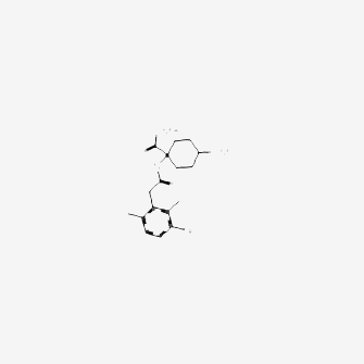 COC(=O)C1(NC(=O)Cc2c(C)ccc(Br)c2C)CCC(OC)CC1